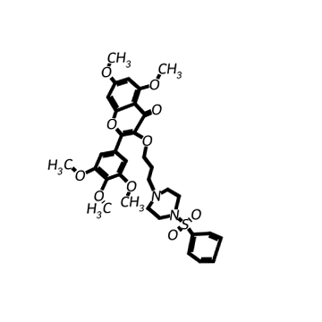 COc1cc(OC)c2c(=O)c(OCCCN3CCN(S(=O)(=O)c4ccccc4)CC3)c(-c3cc(OC)c(OC)c(OC)c3)oc2c1